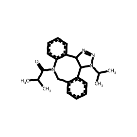 CC(C)C(=O)N1Cc2ccccc2C2C(N=NN2C(C)C)c2ccccc21